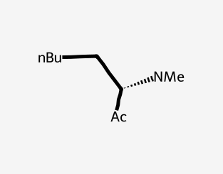 CCCCC[C@H](NC)C(C)=O